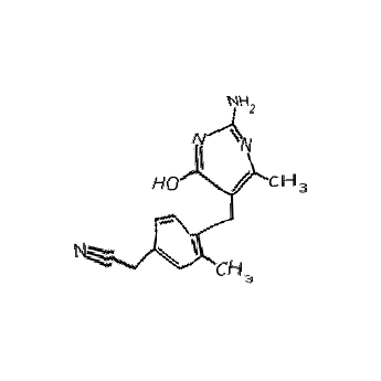 Cc1cc(CC#N)ccc1Cc1c(C)nc(N)nc1O